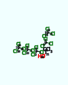 ClC(Cl)Cl.ClC(Cl)Cl.ClC(Cl)Cl.ClC(Cl)Cl.ClC(Cl)Cl.OCC(Cl)(Cl)Cl